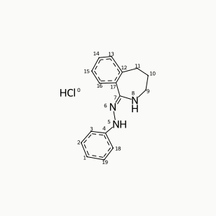 Cl.c1ccc(NN=C2NCCCc3ccccc32)cc1